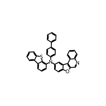 c1ccc(-c2ccc(N(c3ccc4oc5cnc6ccccc6c5c4c3)c3cccc4c3sc3ccccc34)cc2)cc1